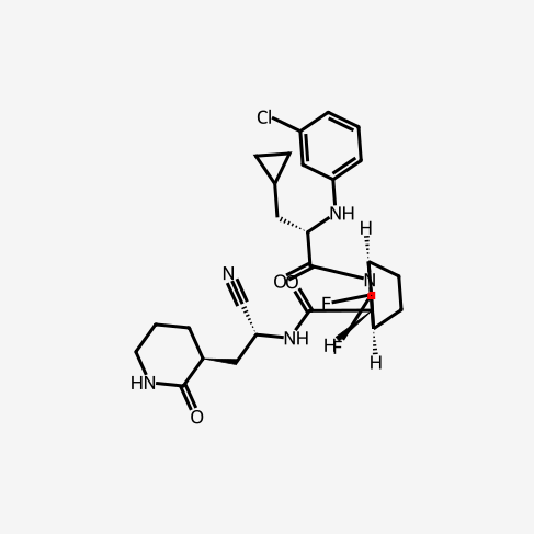 N#C[C@@H](C[C@@H]1CCCNC1=O)NC(=O)[C@H]1[C@@H]2CC[C@@H](CC2(F)F)N1C(=O)[C@H](CC1CC1)Nc1cccc(Cl)c1